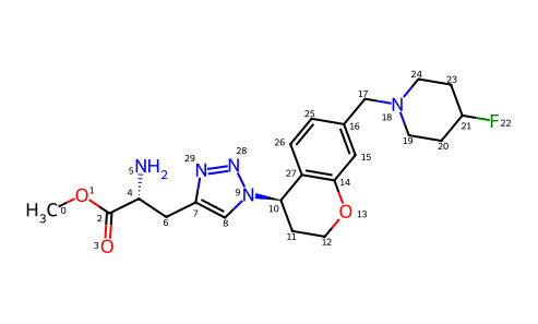 COC(=O)[C@H](N)Cc1cn([C@@H]2CCOc3cc(CN4CCC(F)CC4)ccc32)nn1